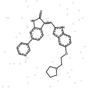 O=C1Nc2cc(-c3cccnc3)ccc2/C1=C\c1cc2cc(OCCN3CCCC3)ccc2[nH]1